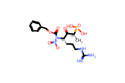 C[C@H](C(=O)[C@H](CCCNC(=N)N)N(C(=O)OCc1ccccc1)[N+](=O)[O-])P(=O)(O)O